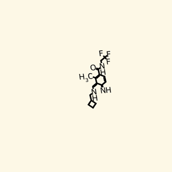 CC1=C(C(=O)NCC(F)(F)F)C=CC(=N)/C1=C\NCC1CCC1